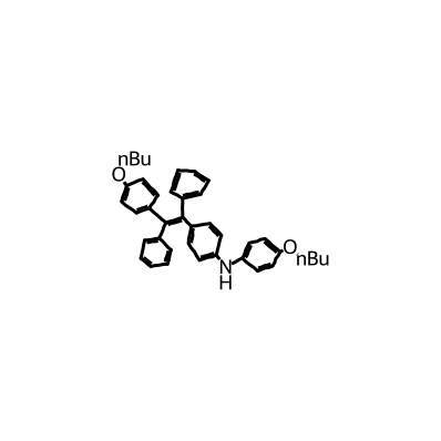 CCCCOc1ccc(Nc2ccc(/C(=C(\c3ccccc3)c3ccc(OCCCC)cc3)c3ccccc3)cc2)cc1